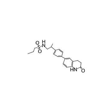 CCCS(=O)(=O)NCC(C)c1ccc(-c2ccc3c(c2)CCC(=O)N3)cc1